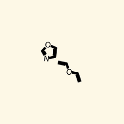 C=COC=C.c1cocn1